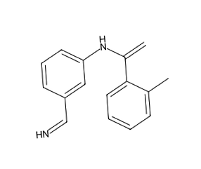 C=C(Nc1cccc(C=N)c1)c1ccccc1C